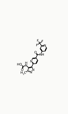 Cn1nnc(-c2ccc(C(=O)Nc3ccnc(C(F)(F)F)c3)cn2)c1NC(=O)O